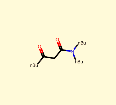 CCCCC(=O)CC(=O)N(CCCC)CCCC